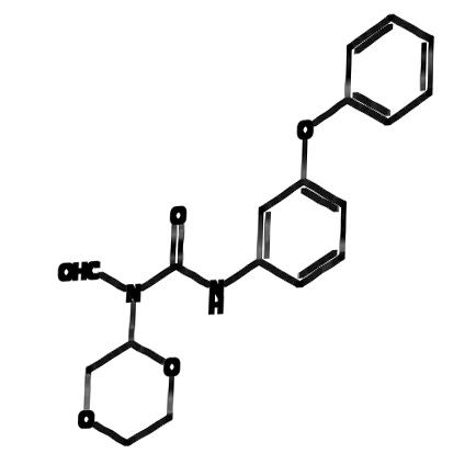 O=CN(C(=O)Nc1cccc(Oc2ccccc2)c1)C1COCCO1